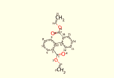 C=COC(=O)c1ccccc1-c1ccccc1C(=O)OC=C